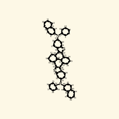 c1ccc(N(c2ccc3ccccc3c2)c2ccc3c(c2)sc2c4cccc5c6c7ccc(N(c8ccccc8)c8ccc9ccccc9c8)cc7sc6c6cccc(c32)c6c45)cc1